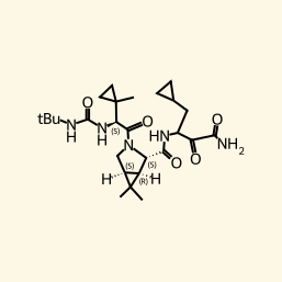 CC(C)(C)NC(=O)N[C@H](C(=O)N1C[C@H]2[C@@H]([C@H]1C(=O)NC(CC1CC1)C(=O)C(N)=O)C2(C)C)C1(C)CC1